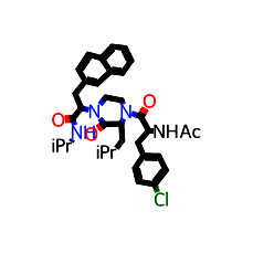 CC(=O)NC(Cc1ccc(Cl)cc1)C(=O)N1CCN(C(Cc2ccc3ccccc3c2)C(=O)NC(C)C)C(=O)C1CC(C)C